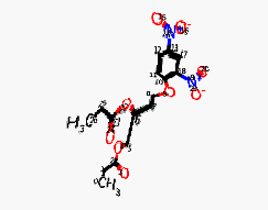 CCC(=O)OCC(CCOc1ccc([N+](=O)[O-])cc1[N+](=O)[O-])OC(=O)CC